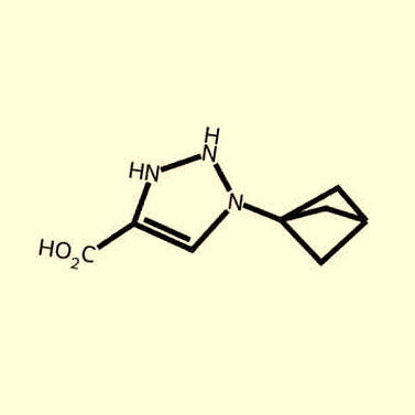 O=C(O)C1=CN(C23CC(C2)C3)NN1